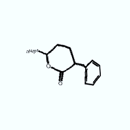 CCCCCCCC1CCC(c2ccccc2)C(=O)O1